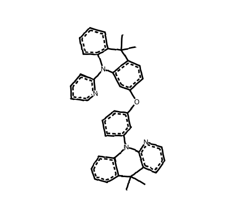 CC1(C)c2ccccc2N(c2ccccn2)c2cc(Oc3cccc(N4c5ccccc5C(C)(C)c5cccnc54)c3)ccc21